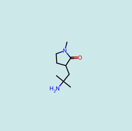 CN1CCC(CC(C)(C)N)C1=O